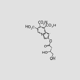 O=C(CC(O)CO)Oc1[c]c2c(C(=O)O)c(C(=O)O)c(C(=O)O)cn2c1